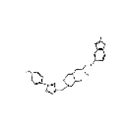 Cc1nc2cc(OC[C@H](O)CN3CCN(Cc4noc(-c5ccc(C(F)(F)F)cc5)n4)C[C@@H]3C)ccc2s1